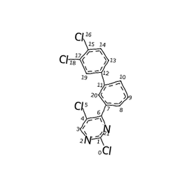 Clc1ncc(Cl)c(-c2cccc(-c3ccc(Cl)c(Cl)c3)c2)n1